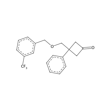 O=C1CC(COCc2cccc(C(F)(F)F)c2)(c2ccccc2)C1